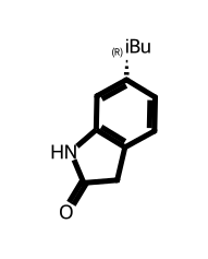 CC[C@@H](C)c1ccc2c(c1)NC(=O)C2